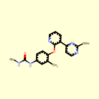 CNc1nccc(-c2cccnc2Oc2ccc(NC(=O)NC(C)(C)C)cc2C)n1